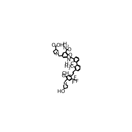 COc1cc(/C=C/c2cccc(-c3cccc(-c4nc5cc(CN6CCC(C(=O)O)C6)cc(C(N)=O)c5o4)c3C)c2C)c(C(F)(F)F)cc1CN1CCC(O)C1